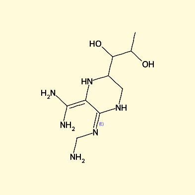 CC(O)C(O)C1CN/C(=N/CN)C(=C(N)N)N1